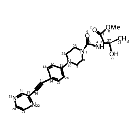 COC(=O)[C@@H](NC(=O)N1CCN(c2ccc(C#Cc3cnccn3)cc2)CC1)[C@@H](C)O